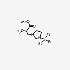 CC[Si](CC)(CC)N1CCN(CC(C)C(=O)OC)C1